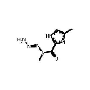 Cc1c[nH]c(C(=O)N(C)N=NN)n1